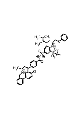 CC(C)N(C)CC[C@H](CSc1ccccc1)Nc1ccc(S(=O)(=O)NC(=O)c2ccc(NC[C@H](C)NCc3ccccc3-c3ccc(Cl)cc3)cc2)cc1S(=O)(=O)C(F)(F)F